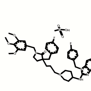 COc1cc(CN2CCC(CCCN3CCC(Nc4nc5ccccc5n4Cc4ccc(F)cc4)CC3)(Cc3ccc(F)cc3)C2=O)cc(OC)c1OC.CS(=O)(=O)O